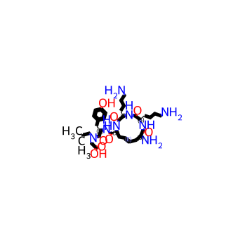 CC(C)CN(CC(=O)O)C(=O)[C@H](Cc1ccc(O)cc1)NC(=O)[C@@H]1C/C=C/C[C@H](N)C(=O)N[C@@H](CCCCN)C(=O)N[C@@H](CCCCN)C(=O)N1